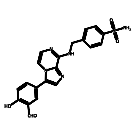 NS(=O)(=O)c1ccc(CNc2nccn3c(-c4ccc(O)c(C=O)c4)cnc23)cc1